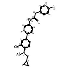 CC(=O)N(CC1CC1)c1ccc(-c2ccc(NC(=O)Cc3ccc(Cl)nc3)cn2)cc1Cl